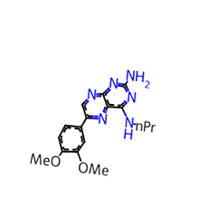 CCCNc1nc(N)nc2ncc(-c3ccc(OC)c(OC)c3)nc12